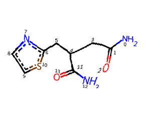 NC(=O)CC(Cc1nccs1)C(N)=O